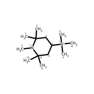 CN1C(C)(C)CC([N+](C)(C)C)CC1(C)C